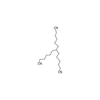 N#CCCCCCC(CCCCCC#N)CCCCCC#N